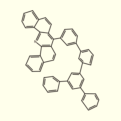 c1ccc(-c2cc(-c3ccccc3)cc(-c3cccc(-c4cccc(-c5c6ccc7ccccc7c6nc6c5ccc5ccccc56)c4)c3)c2)cc1